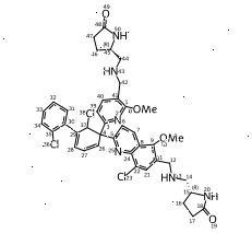 COc1nc(C2(c3ccc4c(OC)c(CNC[C@H]5CCC(=O)N5)cc(Cl)c4n3)C=CC=C(c3ccccc3Cl)C2Cl)ccc1CNC[C@H]1CCC(=O)N1